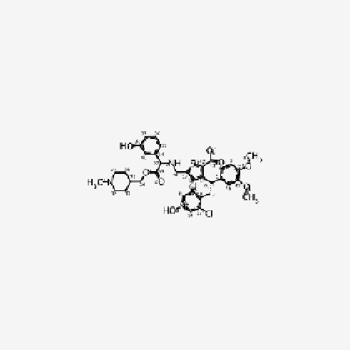 COc1ccc([C@H](Cc2c(Cl)c[n+](O)cc2Cl)c2cc(CNC(C(=O)OCC3CCN(C)CC3)c3cccc(O)c3)sc2C(=O)[O-])cc1OC